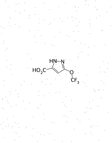 O=C(O)c1cc(OC(F)(F)F)n[nH]1